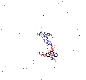 COc1cc(C)c(S(=O)(=O)N2CCCCC2COCC(=O)N2CCN(CCN(C(C)C)C(C)C)CC2)c(C)c1